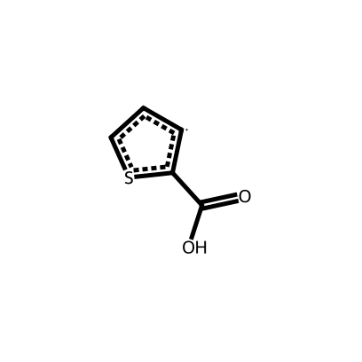 O=C(O)c1[c]ccs1